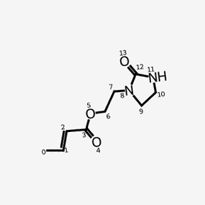 CC=CC(=O)OCCN1CCNC1=O